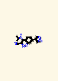 CC(C)Nc1c(C#N)nnc2cc(-c3cn[nH]c3)ccc12